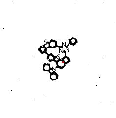 C1=C(n2c3ccccc3c3ccccc32)c2c(sc3cc(-c4cccc5sc6ccc(-c7nc(-c8ccccc8)nc(-c8ccccc8)n7)cc6c45)ccc23)CC1